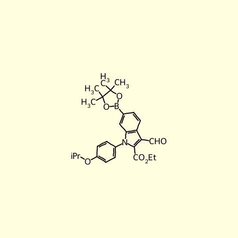 CCOC(=O)c1c(C=O)c2ccc(B3OC(C)(C)C(C)(C)O3)cc2n1-c1ccc(OC(C)C)cc1